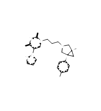 O=c1[nH]c(=O)n(CCCN2C[C@@H]3C[C@]3(c3ccc(C(F)(F)F)cc3)C2)cc1-n1cccn1